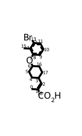 C/C(=C\C1CCC(Oc2cccc(Br)c2C)CC1)C(=O)O